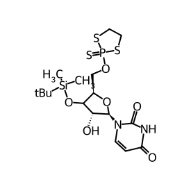 CC(C)(C)[Si](C)(C)OC1[C@@H](O)[C@H](n2ccc(=O)[nH]c2=O)O[C@@H]1COP1(=S)SCCS1